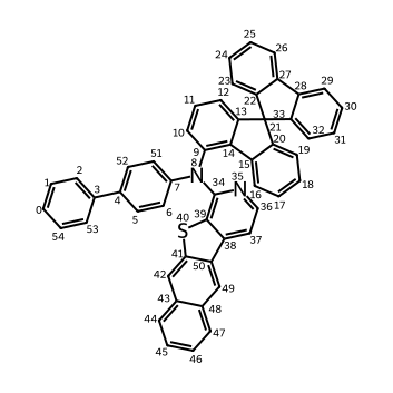 c1ccc(-c2ccc(N(c3cccc4c3-c3ccccc3C43c4ccccc4-c4ccccc43)c3nccc4c3sc3cc5ccccc5cc34)cc2)cc1